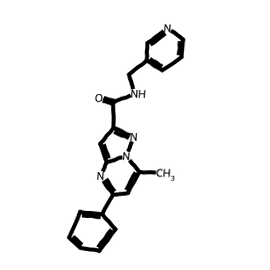 Cc1cc(-c2ccccc2)nc2cc(C(=O)NCc3cccnc3)nn12